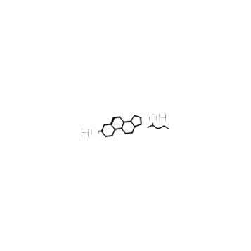 CCCC(O)C[C@H]1CCC2C3CC=C4CC(O)CC[C@]4(C)C3CC[C@@]21C